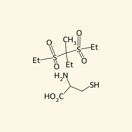 CCC(C)(S(=O)(=O)CC)S(=O)(=O)CC.NC(CS)C(=O)O